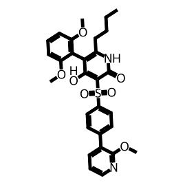 CCCCc1[nH]c(=O)c(S(=O)(=O)c2ccc(-c3cccnc3OC)cc2)c(O)c1-c1c(OC)cccc1OC